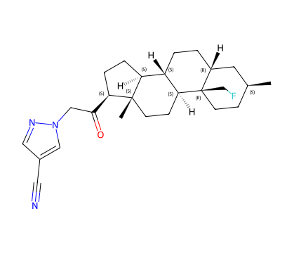 C[C@H]1CC[C@@]2(CF)[C@H](CC[C@H]3[C@@H]4CC[C@H](C(=O)Cn5cc(C#N)cn5)[C@@]4(C)CC[C@@H]32)C1